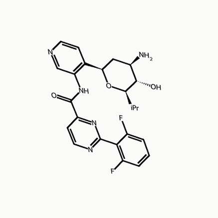 CC(C)[C@H]1O[C@@H](c2ccncc2NC(=O)c2ccnc(-c3c(F)cccc3F)n2)C[C@@H](N)[C@@H]1O